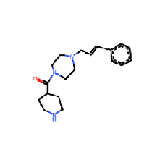 O=C(C1CCNCC1)N1CCN(C/C=C/c2ccccc2)CC1